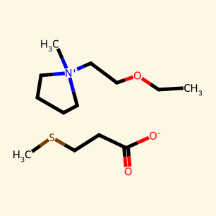 CCOCC[N+]1(C)CCCC1.CSCCC(=O)[O-]